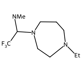 CCN1CCCN(C(NC)C(F)(F)F)CC1